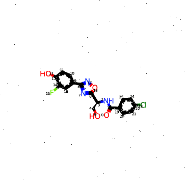 O=C(N[C@@H](CO)c1nc(-c2ccc(O)c(F)c2)no1)c1ccc(Cl)cc1